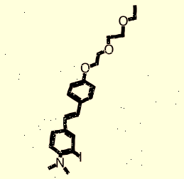 CCOCCOCCOc1ccc(/C=C/c2ccc(N(C)C)c(I)c2)cc1